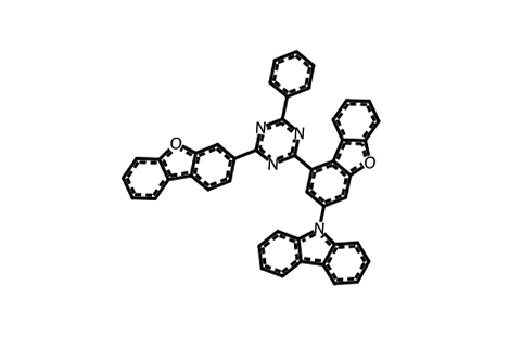 c1ccc(-c2nc(-c3ccc4c(c3)oc3ccccc34)nc(-c3cc(-n4c5ccccc5c5ccccc54)cc4oc5ccccc5c34)n2)cc1